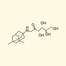 CC12CC3CC(C)(C1)CC(NCC(=O)[C@@H](O)[C@H](O)[C@H](O)CO)(C3)C2